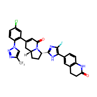 O=C1CCc2cc(-c3[nH]c([C@@H]4CC[C@@H]5CC(c6cc(Cl)ccc6-n6cc(C(F)(F)F)nn6)=CC(=O)N54)nc3F)ccc2N1